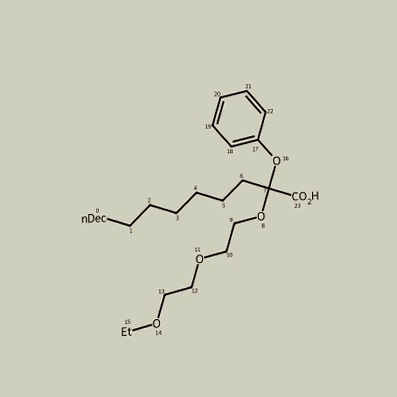 CCCCCCCCCCCCCCCCC(OCCOCCOCC)(Oc1ccccc1)C(=O)O